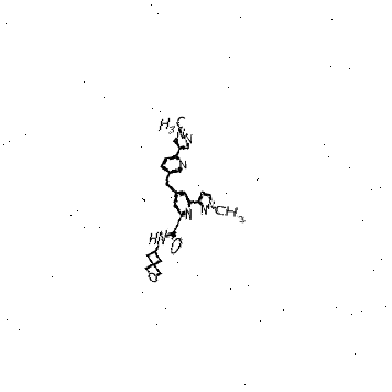 Cn1cc(-c2ccc(Cc3cc(C(=O)NC4CC5(COC5)C4)nc(-c4ccn(C)n4)c3)cn2)cn1